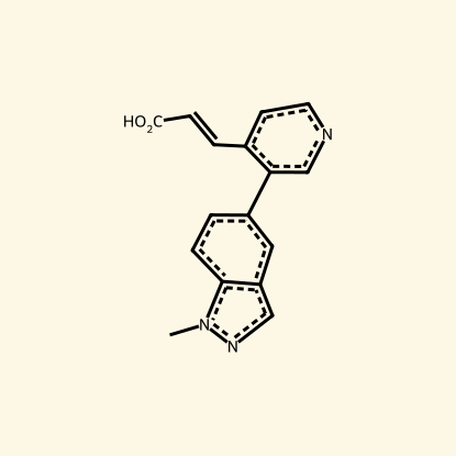 Cn1ncc2cc(-c3cnccc3/C=C/C(=O)O)ccc21